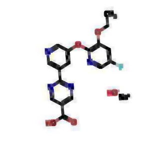 CCOc1cc(F)cnc1Oc1cncc(-c2ncc(C(=O)O)cn2)c1.[Na+].[OH-]